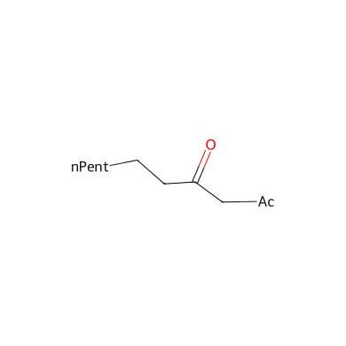 CCCCCCCC(=O)CC(C)=O